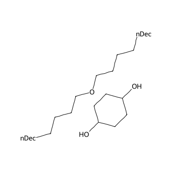 CCCCCCCCCCCCCCOCCCCCCCCCCCCCC.OC1CCC(O)CC1